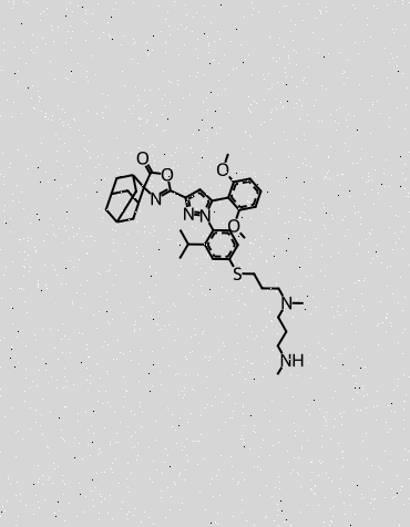 CNCCCN(C)CCCSc1ccc(-n2nc(C3=NC4(C(=O)O3)C3CC5CC(C3)CC4C5)cc2-c2c(OC)cccc2OC)c(C(C)C)c1